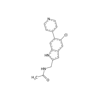 CC(=O)NCc1cc2cc(Cl)c(-c3ccncc3)cc2[nH]1